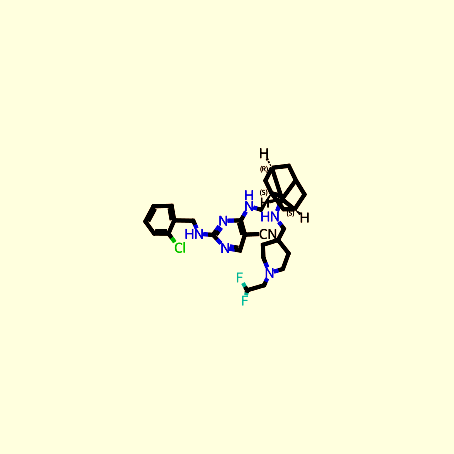 N#Cc1cnc(NCc2ccccc2Cl)nc1NC[C@]12CC3C[C@H](C1)[C@@H](NCC1CCN(CC(F)F)CC1)[C@@H](C3)C2